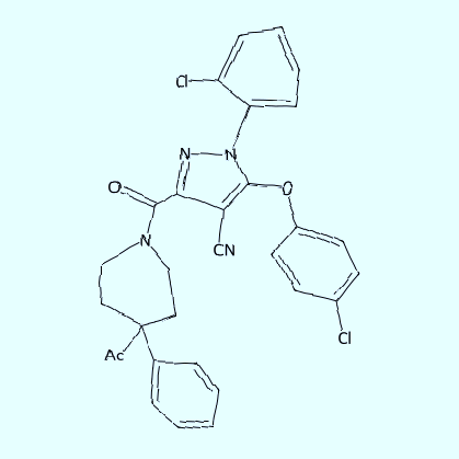 CC(=O)C1(c2ccccc2)CCN(C(=O)c2nn(-c3ccccc3Cl)c(Oc3ccc(Cl)cc3)c2C#N)CC1